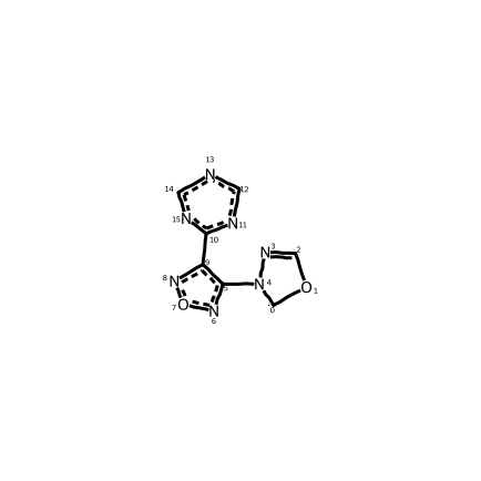 [CH]1OC=NN1c1nonc1-c1ncncn1